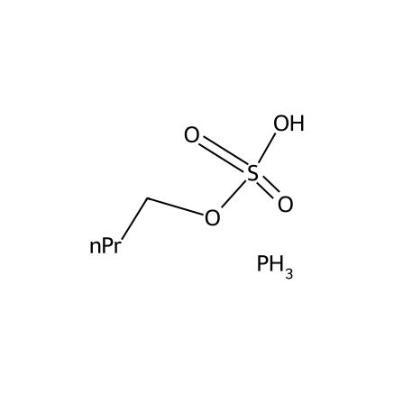 CCCCOS(=O)(=O)O.P